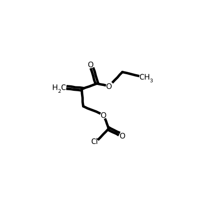 C=C(COC(=O)Cl)C(=O)OCC